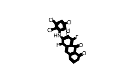 O=C1CC=CC2=C1C(=O)C1=C(F)C(F)=C(Nc3c(Cl)c(Cl)cc(Cl)c3Cl)C(F)C1=C2